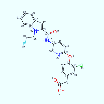 O=C(O)Cc1ccc(Oc2ccc(NC(=O)c3cc4ccccc4n3CCF)cn2)c(Cl)c1